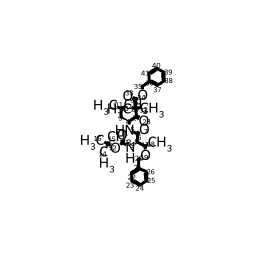 CC(C)C[C@H](NC(=O)[C@@H](NC(=O)OC(C)(C)C)C(C)OCc1ccccc1)C(=O)C(C)(C)C(=O)OCc1ccccc1